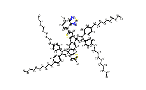 CCCCCCCCCCc1ccc(CCC2(CCc3ccc(CCCCCCCCCC)cc3)c3cc4c(cc3-c3sc(C)cc32)C(CCc2ccc(CCCCCCCCCC)cc2)(CCc2ccc(CCCCCCCCCC)cc2)c2cc(-c3ccc(C)c5nsnc35)sc2-4)cc1